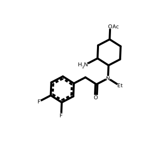 CCN(C(=O)Cc1ccc(F)c(F)c1)C1CCC(OC(C)=O)CC1N